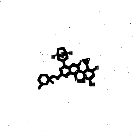 CNc1c(O)cc(Cl)c(C2CC2)c1-c1c(F)cc2c(N3C[C@H]4CC[C@@H](C3)N4)nc(OC[C@@]3(C)CCCN(C)C3)nc2c1F